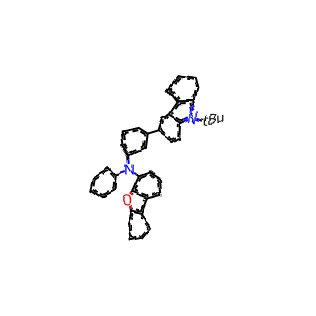 CC(C)(C)n1c2ccccc2c2cc(-c3cccc(N(c4ccccc4)c4cccc5c4oc4ccccc45)c3)ccc21